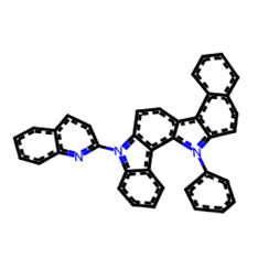 c1ccc(-n2c3ccc4ccccc4c3c3ccc4c(c5ccccc5n4-c4ccc5ccccc5n4)c32)cc1